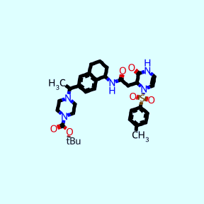 Cc1ccc(S(=O)(=O)N2C=CNC(=O)C2CC(=O)NC2CCCc3cc(C(C)N4CCN(C(=O)OC(C)(C)C)CC4)ccc32)cc1